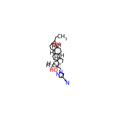 CCC1C2[C@H]3CC[C@@H]4[C@H](CC[C@@]5(C)[C@H]4CC[C@@H]5[C@@](C)(O)Cn4cc(C#N)cn4)[C@H]3CC[C@]12O